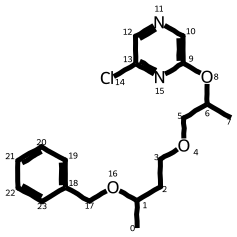 CC(CCOCC(C)Oc1cncc(Cl)n1)OCc1ccccc1